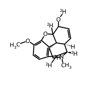 [2H]OC1C=C[C@@H]2[C@@]34CCN(C)[C@]2([2H])C([2H])([2H])c2ccc(OC)c(c23)OC14[2H]